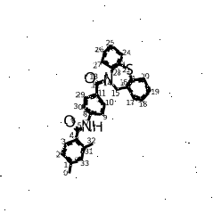 Cc1ccc(C(=O)Nc2ccc(C(=O)N3Cc4ccccc4Sc4ccccc43)cc2)c(C)c1